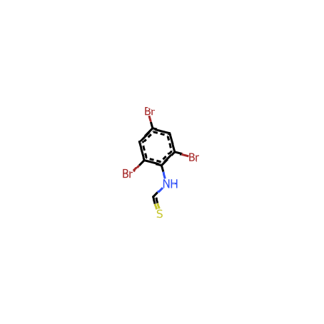 S=CNc1c(Br)cc(Br)cc1Br